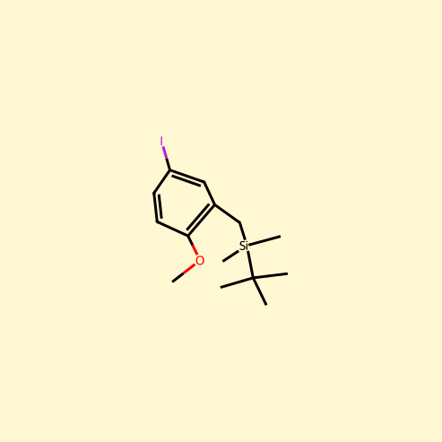 COc1ccc(I)cc1C[Si](C)(C)C(C)(C)C